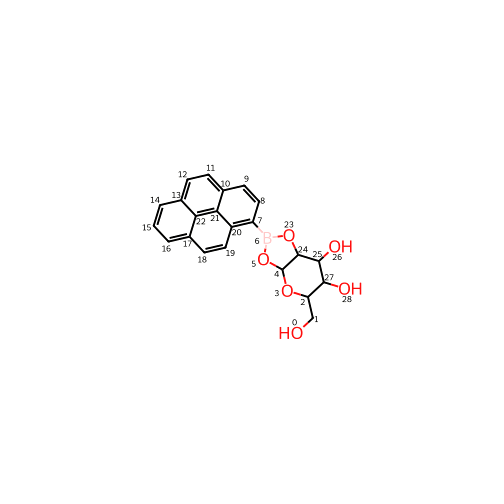 OCC1OC2OB(c3ccc4ccc5cccc6ccc3c4c56)OC2C(O)C1O